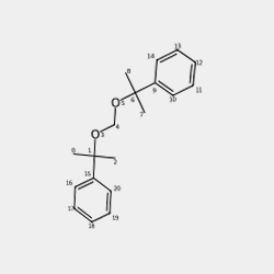 CC(C)(OCOC(C)(C)c1ccccc1)c1ccccc1